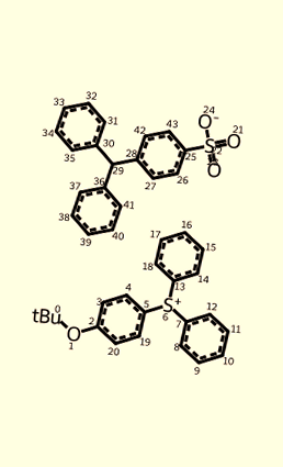 CC(C)(C)Oc1ccc([S+](c2ccccc2)c2ccccc2)cc1.O=S(=O)([O-])c1ccc(C(c2ccccc2)c2ccccc2)cc1